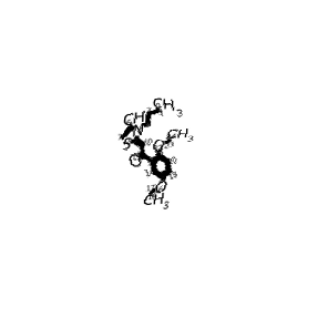 CCCCN1C(C)=CS/C1=C\C(=O)c1cc(OCC)ccc1OCC